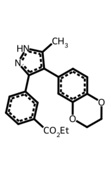 CCOC(=O)c1cccc(-c2n[nH]c(C)c2-c2ccc3c(c2)OCCO3)c1